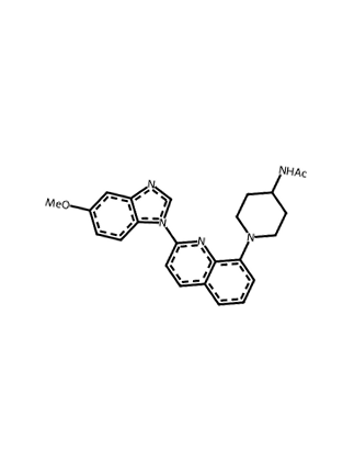 COc1ccc2c(c1)ncn2-c1ccc2cccc(N3CCC(NC(C)=O)CC3)c2n1